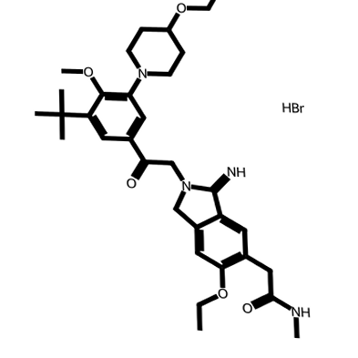 Br.CCOc1cc2c(cc1CC(=O)NC)C(=N)N(CC(=O)c1cc(N3CCC(OCC)CC3)c(OC)c(C(C)(C)C)c1)C2